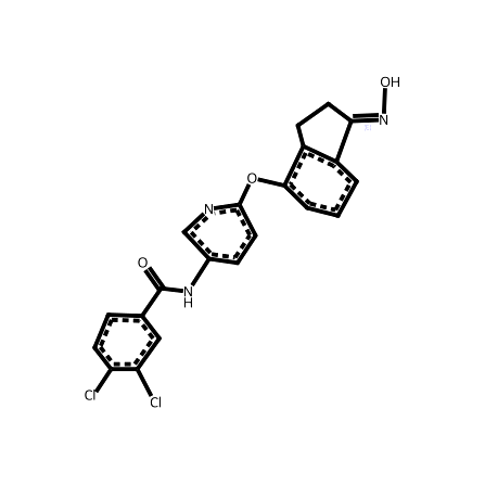 O=C(Nc1ccc(Oc2cccc3c2CC/C3=N\O)nc1)c1ccc(Cl)c(Cl)c1